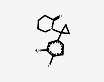 Nc1cc(C2(N3CCCCC3=O)CC2)ccc1F